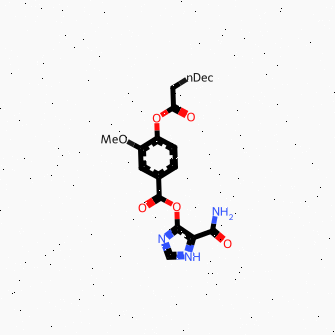 CCCCCCCCCCCC(=O)Oc1ccc(C(=O)Oc2nc[nH]c2C(N)=O)cc1OC